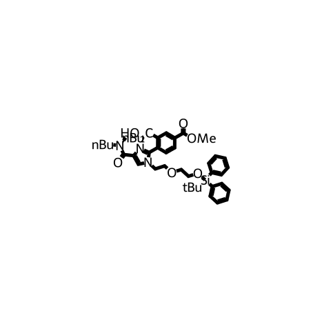 CCCCN(CCCC)C(=O)c1cn(CCOCCO[Si](c2ccccc2)(c2ccccc2)C(C)(C)C)c(-c2ccc(C(=O)OC)cc2C(=O)O)n1